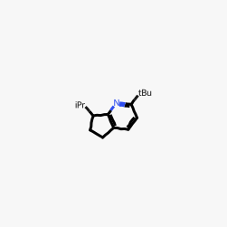 CC(C)C1CCc2ccc(C(C)(C)C)nc21